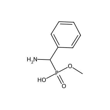 COP(=O)(O)C(N)c1ccccc1